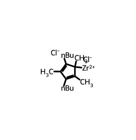 CCCCC1=C(C)[C](C)([Zr+2])C(CCCC)=C1C.[Cl-].[Cl-]